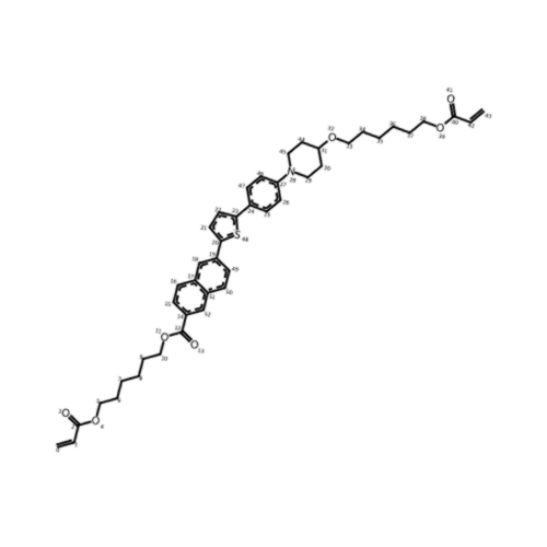 C=CC(=O)OCCCCCCOC(=O)c1ccc2cc(-c3ccc(-c4ccc(N5CCC(OCCCCCCOC(=O)C=C)CC5)cc4)s3)ccc2c1